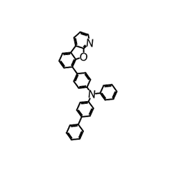 c1ccc(-c2ccc(N(c3ccccc3)c3ccc(-c4cccc5c4oc4ncccc45)cc3)cc2)cc1